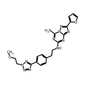 COCCn1nnc(-c2ccc(CCNc3nc(N)n4nc(-c5ccco5)nc4n3)cc2)n1